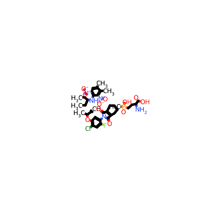 C#CC(C)Oc1cc(N2C(=O)C3=C(CCCC3)C2=O)c(F)cc1Cl.CCC(CC)Nc1c([N+](=O)[O-])cc(C)c(C)c1[N+](=O)[O-].CP(=O)(O)CCC(N)C(=O)O